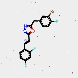 Fc1ccc(/C=C/c2nnc(Cc3ccc(F)c(Br)c3)o2)c(F)c1